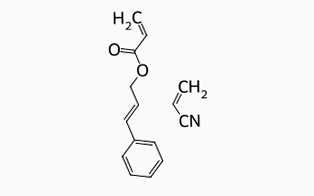 C=CC#N.C=CC(=O)OCC=Cc1ccccc1